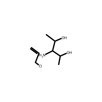 C=CCCl.CC(O)C(N)C(C)O